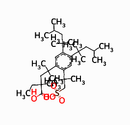 CCC(C)(CC(C)(C)c1cc(C(C)(C)CC(C)C)c(C(C)(C)CC(C)C)cc1C(C)(C)CS(=O)(=O)O)C(=O)O